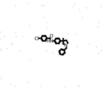 CC1(c2ccc(NC(=O)c3ccc(Cl)cc3)cc2)CCN(Cc2ccccc2)C1